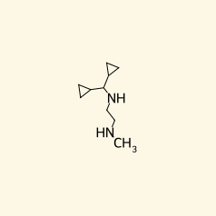 CNCCNC(C1CC1)C1CC1